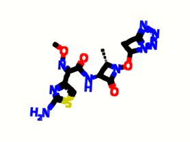 CO/N=C(\C(=O)N[C@@H]1C(=O)N(OC2Cc3nnnn32)[C@H]1C)c1csc(N)n1